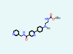 CC(=O)N(CCNC(=O)OC(C)(C)C)c1ccc(-c2ccc(C(=O)NCc3cccnc3)cn2)cc1